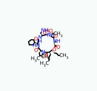 CCCC[C@H]1OC(=O)CNC(=O)[C@H](C(C)O)NC(=O)[C@H](CN)NC(=O)[C@H](C2CCCCC2)NC(=O)[C@H](CC(C)C)N(C)C(=O)[C@@H]1CCCC